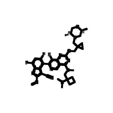 C=Nc1sc2c(F)cc(F)c(-c3ncc4c(N(C)CC5(N(C)C)CCC5)nc(OCC5(CN6C[C@H](C)OC[C@H]6C)CC5)nc4c3F)c2c1C#N